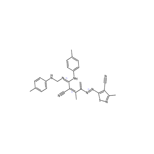 C=C(/N=N/c1snc(C)c1C#N)/C(C)=C(C#N)\C(=N/CNc1ccc(C)cc1)Nc1ccc(C)cc1